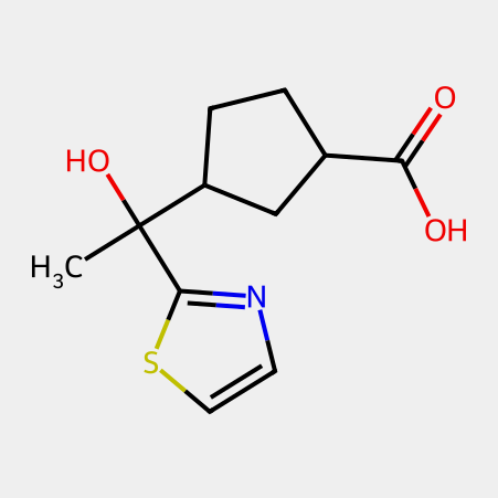 CC(O)(c1nccs1)C1CCC(C(=O)O)C1